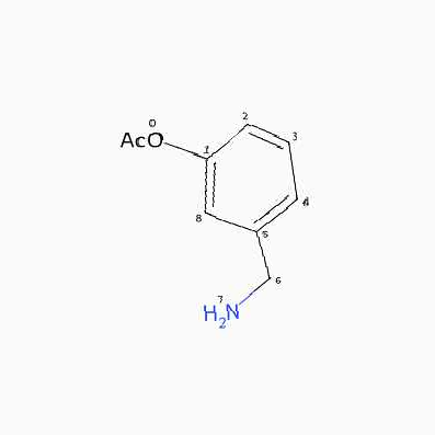 CC(=O)Oc1cccc(CN)c1